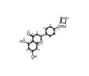 C1=COC1.COc1ccc(-c2cc(=O)c3c(O)cc(O)cc3o2)cc1